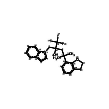 CC(C)(CC(O)(Cn1ccc2ccccc21)C(F)(F)F)c1cccc2c1OCC2